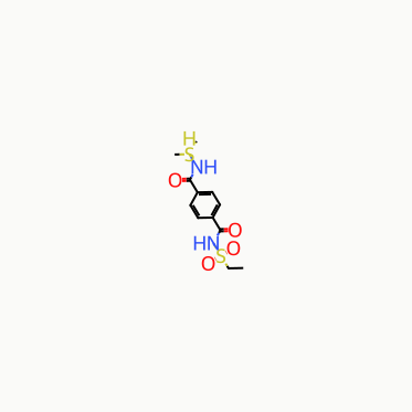 CCS(=O)(=O)NC(=O)c1ccc(C(=O)N[SH](C)C)cc1